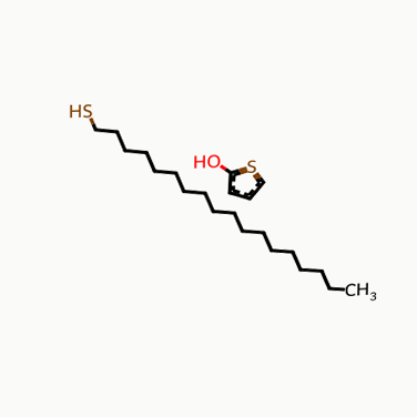 CCCCCCCCCCCCCCCCCCS.Oc1cccs1